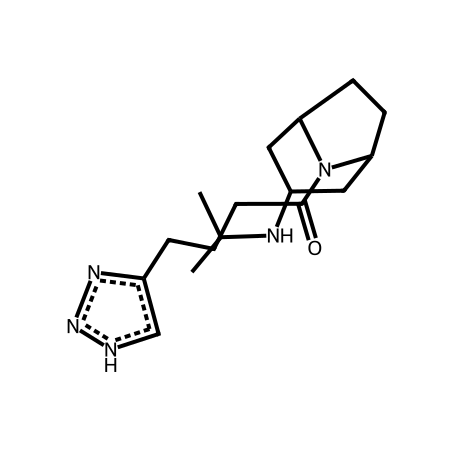 CC(C)NC1CC2CCC(C1)N2C(=O)CCCc1c[nH]nn1